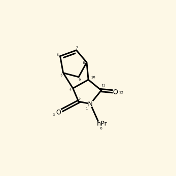 CCCN1C(=O)C2C3C=CC(C3)C2C1=O